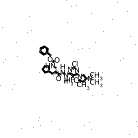 CN(C)C1CN(c2nc(Cl)nc(NNC(=O)[C@@H](CNC(=O)OCc3ccccc3)CC3CCCC3)c2F)C(C)(C)C1